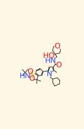 Cc1c(C(=O)NCC2(O)CCOCC2)cc(-c2ccc(S(=O)(=O)NC(C)(C)C)c(C(C)(C)C)c2)n1CC1CCCCC1